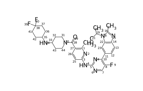 Cc1nc(Nc2ncc(F)c(-c3ccc4nc(C)n(C(C)C)c4c3)n2)ccc1C(=O)N1CCC(NC2CCC(F)(F)CC2)CC1